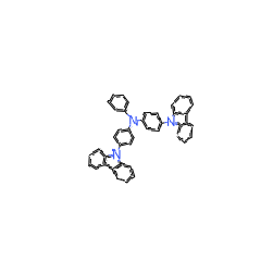 c1ccc(N(c2ccc(-n3c4ccccc4c4ccccc43)cc2)c2ccc(-n3c4ccccc4c4ccccc43)cc2)cc1